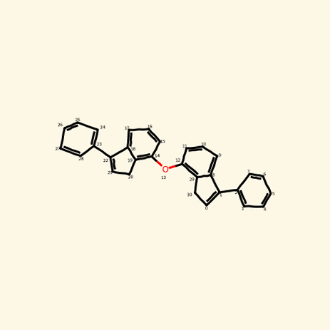 C1=C(c2ccccc2)c2cccc(Oc3cccc4c3CC=C4c3ccccc3)c2C1